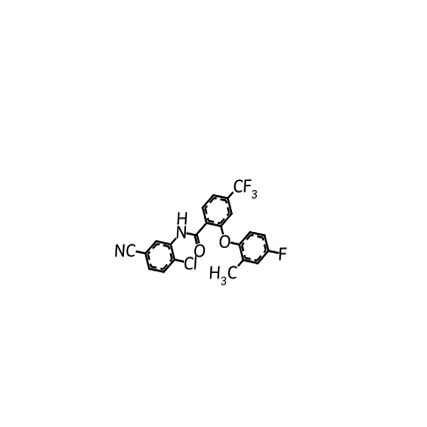 Cc1cc(F)ccc1Oc1cc(C(F)(F)F)ccc1C(=O)Nc1cc(C#N)ccc1Cl